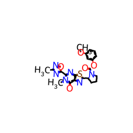 COc1cccc(OC(=O)N2CCCC2c2nc3c(=O)n(C)c(-c4nc(C)no4)nc3s2)c1